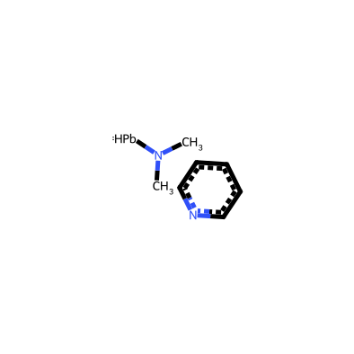 C[N](C)[PbH].c1ccncc1